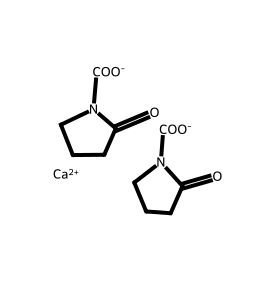 O=C([O-])N1CCCC1=O.O=C([O-])N1CCCC1=O.[Ca+2]